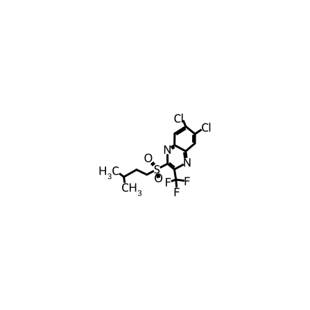 CC(C)CCS(=O)(=O)c1nc2cc(Cl)c(Cl)cc2nc1C(F)(F)F